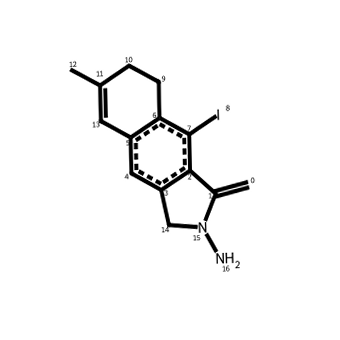 C=C1c2c(cc3c(c2I)CCC(C)=C3)CN1N